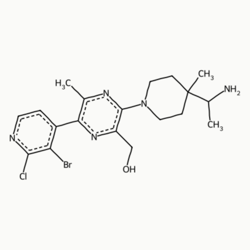 Cc1nc(N2CCC(C)(C(C)N)CC2)c(CO)nc1-c1ccnc(Cl)c1Br